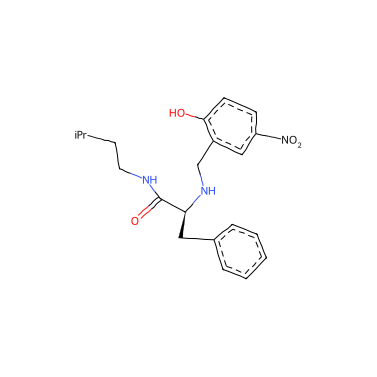 CC(C)CCNC(=O)[C@H](Cc1ccccc1)NCc1cc([N+](=O)[O-])ccc1O